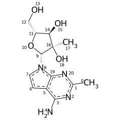 Cc1nc(N)c2ccn([C@@H]3O[C@H](CO)[C@@H](O)[C@@]3(C)O)c2n1